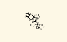 CC1(NC(=O)OC(C)(C)C)CCc2cscc2C1